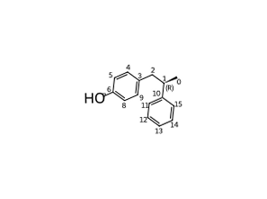 C[C@H](Cc1ccc(O)cc1)c1ccccc1